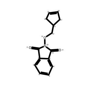 O=C1c2ccccc2C(=O)N1OCC1CC=CC1